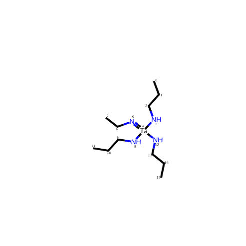 CCC[NH][Ta](=[N]CC)([NH]CCC)[NH]CCC